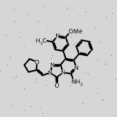 COc1cc(-c2c(-c3ccccc3)nc(N)n3c(=O)n(C=C4CCCO4)nc23)cc(C)n1